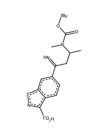 CC(CC(=N)c1ccc2c(C(=O)O)nsc2c1)N(C)C(=O)OC(C)(C)C